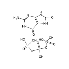 Nc1nc2[nH]c(=O)[nH]c2c(=O)[nH]1.O=P(O)(O)OP(=O)(O)OP(=O)(O)O